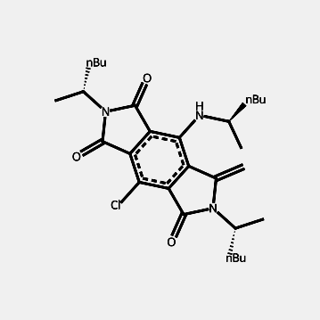 C=C1c2c(N[C@H](C)CCCC)c3c(c(Cl)c2C(=O)N1[C@H](C)CCCC)C(=O)N([C@H](C)CCCC)C3=O